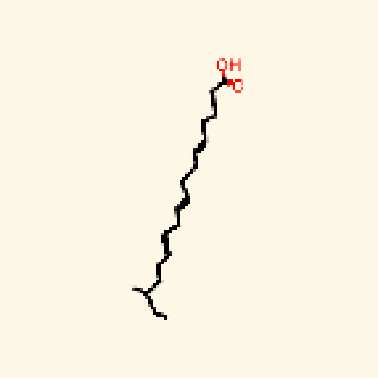 CCC(C)CCC=CCC=CCCC=CCCCC(=O)O